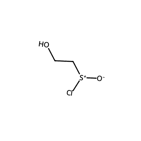 [O-][S+](Cl)CCO